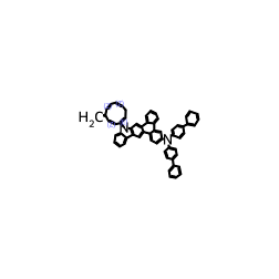 C=C1/C=C\C=C/C/C=C(n2c3ccccc3c3cc4c5ccc(N(c6ccc(-c7ccccc7)cc6)c6ccc(-c7ccccc7)cc6)cc5c5ccccc5c4cc32)\C=C/1